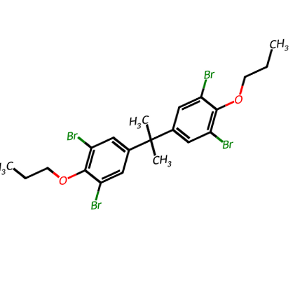 CCCOc1c(Br)cc(C(C)(C)c2cc(Br)c(OCCC)c(Br)c2)cc1Br